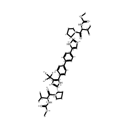 COC(=O)N[C@H](C(=O)N1CCC[C@H]1c1ncc(-c2ccc(-c3ccc(-c4[nH]c([C@@H]5CCCN5C(=O)[C@@H](NC(=O)OC)C(C)C)nc4C(F)(F)F)cc3)cc2)[nH]1)C(C)C